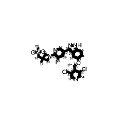 C[C@H](Oc1ccc2[nH]nc(-c3cnc(N4CC(C)(CS(C)(=O)=O)C4)c(F)c3)c2c1)c1c(Cl)cncc1Cl